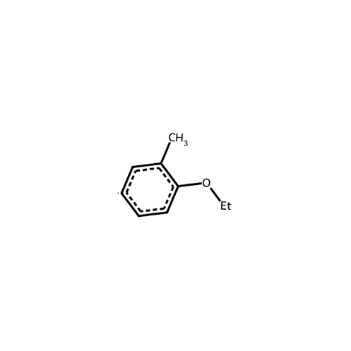 CCOc1cc[c]cc1C